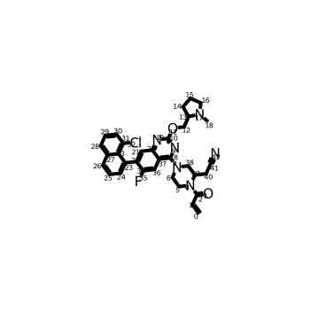 C=CC(=O)N1CCN(c2nc(OCC3CCCN3C)nc3cc(-c4cccc5cccc(Cl)c45)c(F)cc23)CC1CC#N